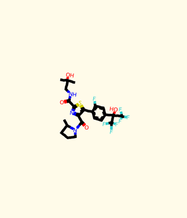 CC1CCCN1C(=O)c1nc(C(=O)NCC(C)(C)O)sc1-c1ccc(C(O)(C(F)(F)F)C(F)(F)F)cc1F